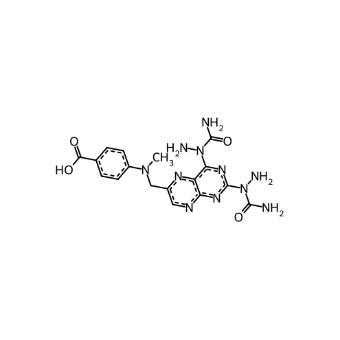 CN(Cc1cnc2nc(N(N)C(N)=O)nc(N(N)C(N)=O)c2n1)c1ccc(C(=O)O)cc1